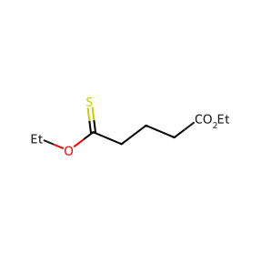 CCOC(=O)CCCC(=S)OCC